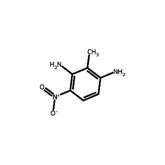 Cc1c(N)ccc([N+](=O)[O-])c1N